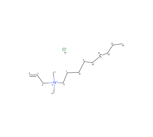 C=CC[N+](C)(C)CCCCCCCCC.[Cl-]